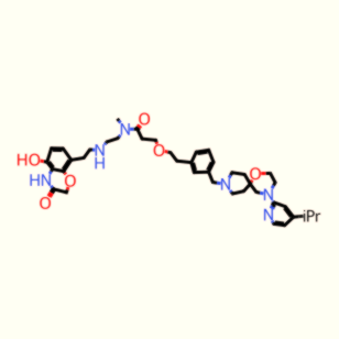 CC(C)c1ccnc(N2CCOC3(CCN(Cc4cccc(CCOCCC(=O)N(C)CCNCCc5ccc(O)c6c5OCC(=O)N6)c4)CC3)C2)c1